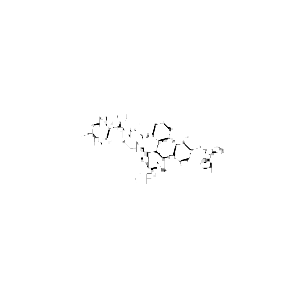 Cc1cnc(C(=O)N2CCN(c3nc(C(F)(F)F)nc(-c4ccc(C[SH](=O)=O)cc4)c3-c3ccccc3)CC2)cn1